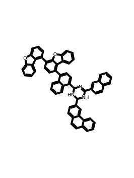 c1ccc2cc(C3=NC(c4ccc(-c5ccc(-c6cccc7oc8ccccc8c67)c6oc7ccccc7c56)c5ccccc45)NC(c4ccc5ccc6ccccc6c5c4)N3)ccc2c1